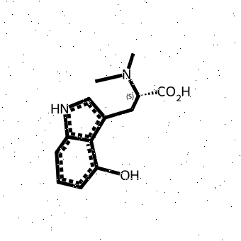 CN(C)[C@@H](Cc1c[nH]c2cccc(O)c12)C(=O)O